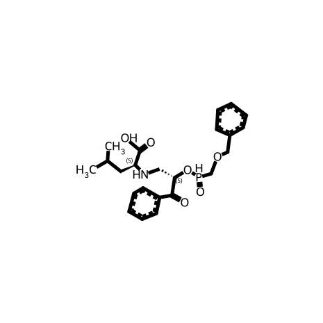 CC(C)C[C@H](NC[C@H](O[PH](=O)COCc1ccccc1)C(=O)c1ccccc1)C(=O)O